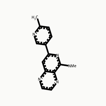 CNc1nc(-c2ccc(C)nc2)cc2nccnc12